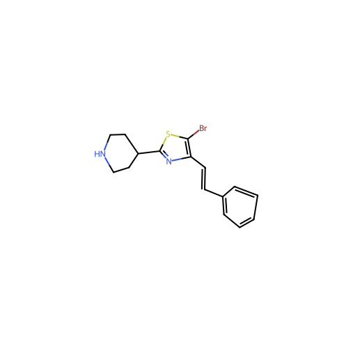 Brc1sc(C2CCNCC2)nc1C=Cc1ccccc1